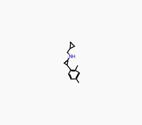 Cc1ccc(C2CC2NCC2CC2)c(C)c1